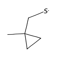 CC1(C[S])CC1